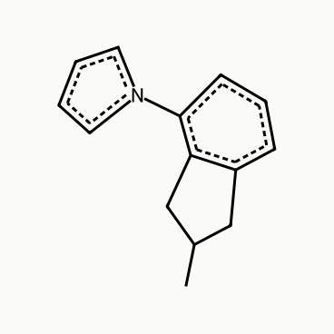 CC1Cc2cccc(-n3cccc3)c2C1